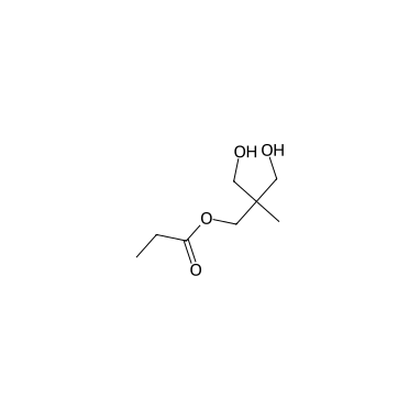 CCC(=O)OCC(C)(CO)CO